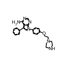 Nc1ncnc2c1c(-c1ccccc1)cn2-c1ccc(OCCN2CCNCC2)cc1